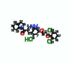 Cl.NCC(Cc1ccc(OCCOc2c(Cl)cccc2Cl)cc1)C(=O)N1CCc2ccccc21